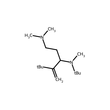 C=C(C(CCN(C)C)N(C)C(C)(C)C)C(C)(C)C